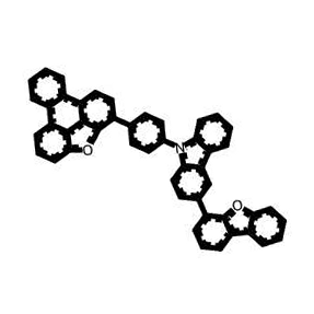 c1ccc2c(c1)oc1c(-c3ccc4c(c3)c3ccccc3n4-c3ccc(-c4ccc5c6ccccc6c6cccc7oc4c5c76)cc3)cccc12